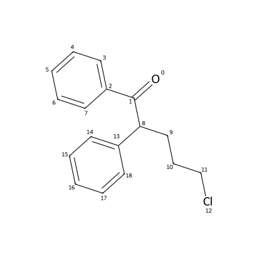 O=C(c1ccccc1)C(CCCCl)c1ccccc1